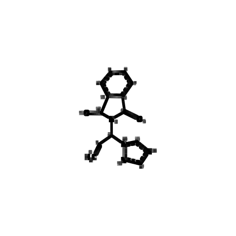 C=CC(N1C(=O)c2ccccc2C1=O)n1cncn1